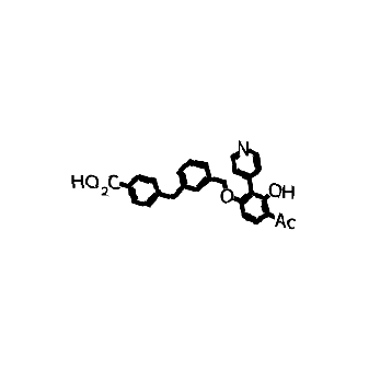 CC(=O)c1ccc(OCc2cccc(Cc3ccc(C(=O)O)cc3)c2)c(-c2ccncc2)c1O